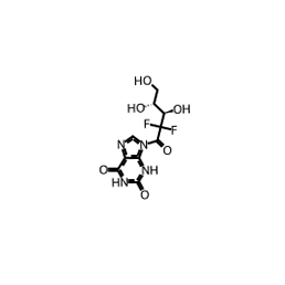 O=C(n1cnc2c(=O)[nH]c(=O)[nH]c21)C(F)(F)[C@H](O)[C@H](O)CO